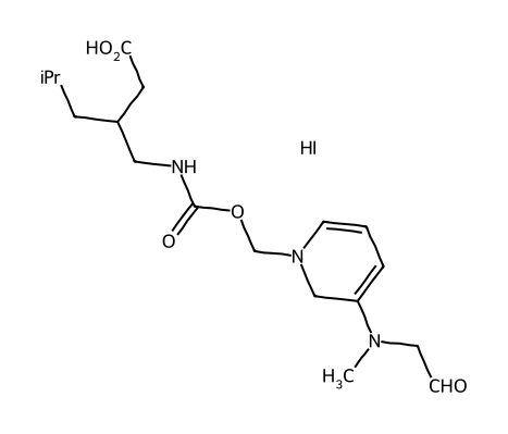 CC(C)CC(CNC(=O)OCN1C=CC=C(N(C)CC=O)C1)CC(=O)O.I